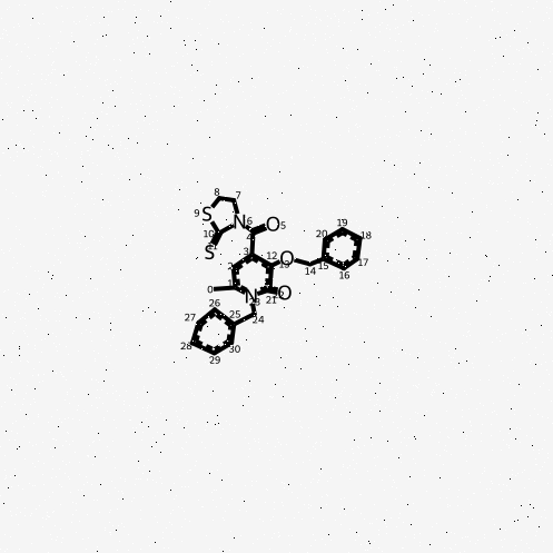 Cc1cc(C(=O)N2CCSC2=S)c(OCc2ccccc2)c(=O)n1Cc1ccccc1